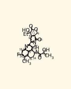 CC[C@@]1(O)C(=O)OCc2c1cc1n(c2=O)Cc2c-1nc1cc(F)c(C)c3c1c2[C@@H](NC(=O)C(C)O)CC3